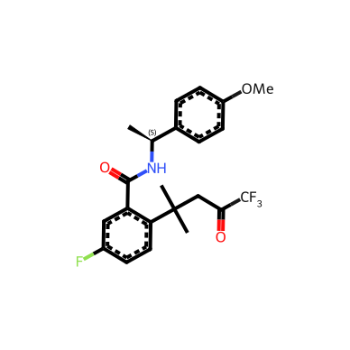 COc1ccc([C@H](C)NC(=O)c2cc(F)ccc2C(C)(C)CC(=O)C(F)(F)F)cc1